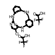 Clc1cnc2nc1Nc1cccc(c1)CNc1cccc(c1)N2.O=C(O)C(F)(F)F.O=C(O)C(F)(F)F